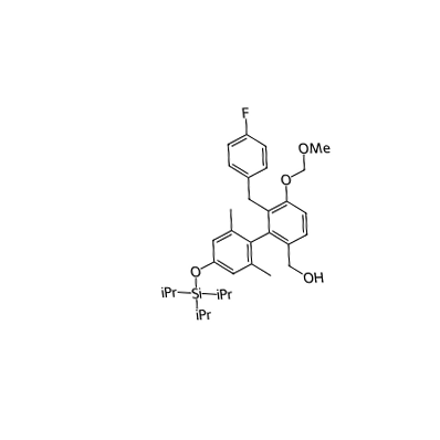 COCOc1ccc(CO)c(-c2c(C)cc(O[Si](C(C)C)(C(C)C)C(C)C)cc2C)c1Cc1ccc(F)cc1